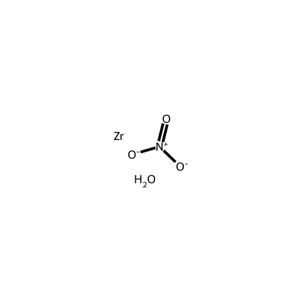 O.O=[N+]([O-])[O-].[Zr]